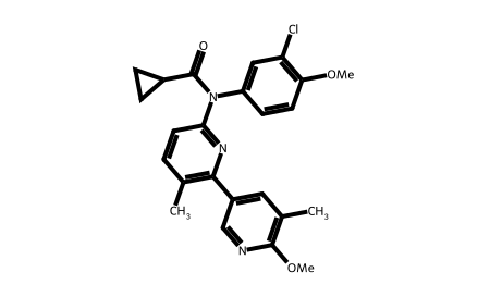 COc1ccc(N(C(=O)C2CC2)c2ccc(C)c(-c3cnc(OC)c(C)c3)n2)cc1Cl